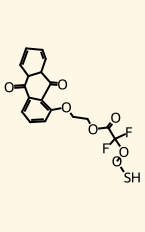 O=C1c2cccc(OCCOC(=O)C(F)(F)OOS)c2C(=O)C2C=CC=CC12